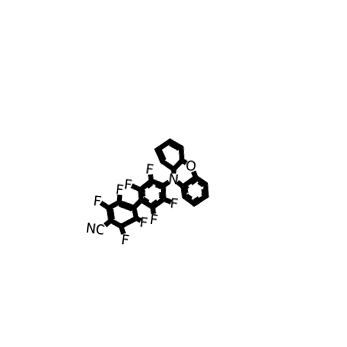 N#CC1=C(F)C(F)=C(c2c(F)c(F)c(N3c4ccccc4OC4C=CC=CC43)c(F)c2F)C(F)C1F